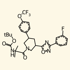 CC(C)(C)OC(=O)NC(C)(C)C(=O)N1CC(c2ccc(OC(F)(F)F)cc2)CC(c2nc(-c3cccc(F)c3)no2)C1